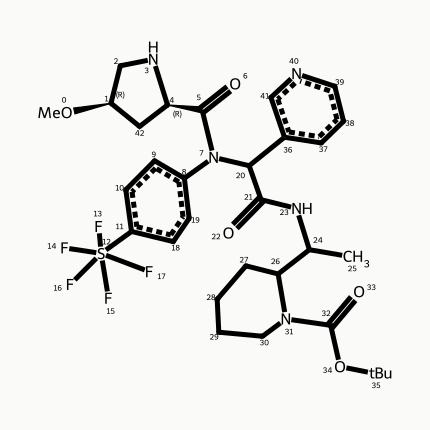 CO[C@H]1CN[C@@H](C(=O)N(c2ccc(S(F)(F)(F)(F)F)cc2)C(C(=O)NC(C)C2CCCCN2C(=O)OC(C)(C)C)c2cccnc2)C1